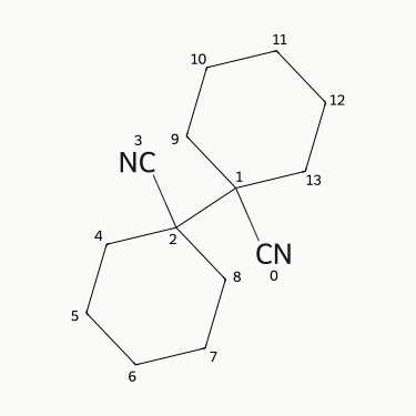 N#CC1(C2(C#N)CCCCC2)CCCCC1